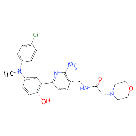 CN(c1ccc(Cl)cc1)c1ccc(O)c(-c2ccc(CNC(=O)CN3CCOCC3)c(N)n2)c1